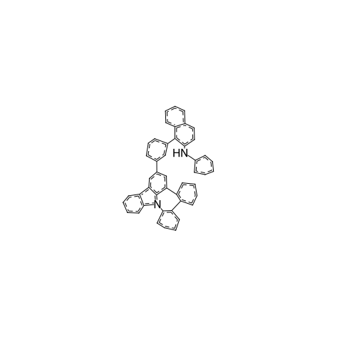 c1ccc(Nc2ccc3ccccc3c2-c2cccc(-c3cc4c5c(c3)c3ccccc3n5-c3ccccc3-c3ccccc3-4)c2)cc1